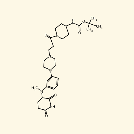 CN(c1cccc(N2CCN(CCC(=O)N3CCC(NC(=O)OC(C)(C)C)CC3)CC2)c1)C1CCC(=O)NC1=O